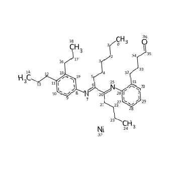 CCCCCCC(=Nc1ccc(CCC)c(CCC)c1)C(CCCC)=Nc1ccccc1CCCC=O.[Ni]